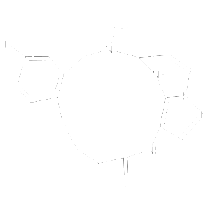 CCCN1Cc2cc(F)ccc2OCCC(=O)Nc2cnn3c2NC1C=C3